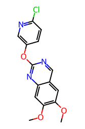 COc1cc2cnc(Oc3ccc(Cl)nc3)nc2cc1OC